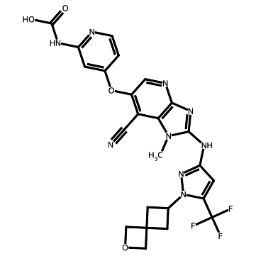 Cn1c(Nc2cc(C(F)(F)F)n(C3CC4(COC4)C3)n2)nc2ncc(Oc3ccnc(NC(=O)O)c3)c(C#N)c21